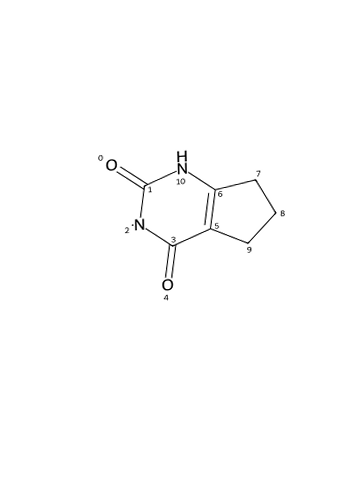 O=C1[N]C(=O)C2=C(CCC2)N1